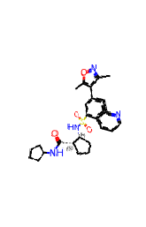 Cc1noc(C)c1-c1cc(S(=O)(=O)N[C@@H]2CCC[C@@H]2C(=O)NC2CCCC2)c2cccnc2c1